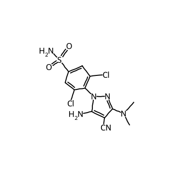 CN(C)c1nn(-c2c(Cl)cc(S(N)(=O)=O)cc2Cl)c(N)c1C#N